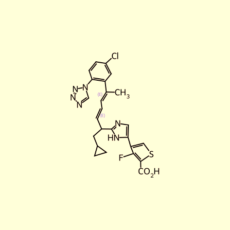 C/C(=C\C=C\C(CC1CC1)c1ncc(-c2csc(C(=O)O)c2F)[nH]1)c1cc(Cl)ccc1-n1cnnn1